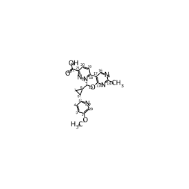 COc1ccc([C@@H]2CC2COc2nc(C)ncc2-c2ccc(C(=O)O)nn2)nc1